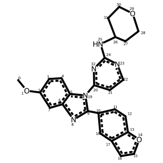 COc1ccc2c(c1)nc(-c1ccc3occc3c1)n2-c1ccnc(NC2CCOCC2)n1